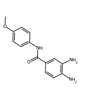 COc1ccc(NC(=O)c2ccc(N)c(N)c2)cc1